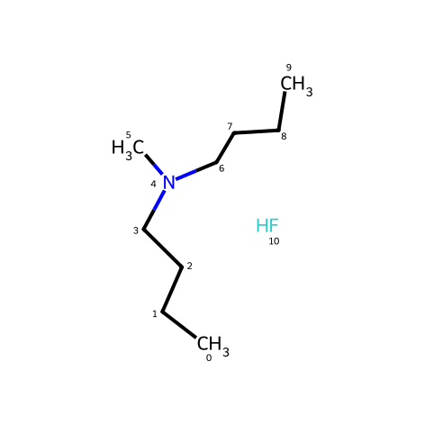 CCCCN(C)CCCC.F